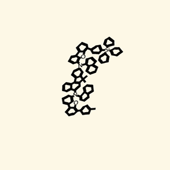 Cc1ccc(-c2cccc3c2oc2c(N(c4cccc5ccccc45)c4cc5c(c6ccccc46)-c4ccc(N(c6cccc7ccccc67)c6cccc7c6oc6c(-c8ccc([Si](c9ccccc9)(c9ccccc9)c9ccccc9)cc8)cccc67)cc4C5(C)C)cccc23)cc1